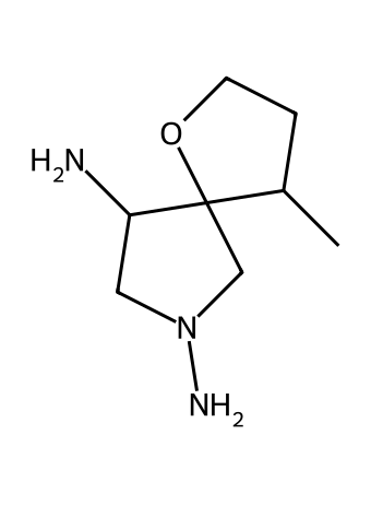 CC1CCOC12CN(N)CC2N